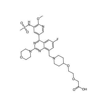 COc1ncc(-c2nc(N3CCOCC3)nc3c(CN4CCC(OCCOCC(=O)O)CC4)cc(F)cc23)cc1NS(C)(=O)=O